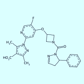 Cc1nn(-c2cc(OC3CN(C(=O)N4N=CCC4c4ccccc4)C3)c(F)cn2)c(C)c1C(=O)O